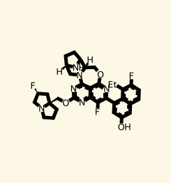 CCc1c(F)ccc2cc(O)cc(-c3nc4c5c(nc(OC[C@@]67CCCN6C[C@H](F)C7)nc5c3F)N3C[C@@H]5CCC(N5)[C@@H]3CO4)c12